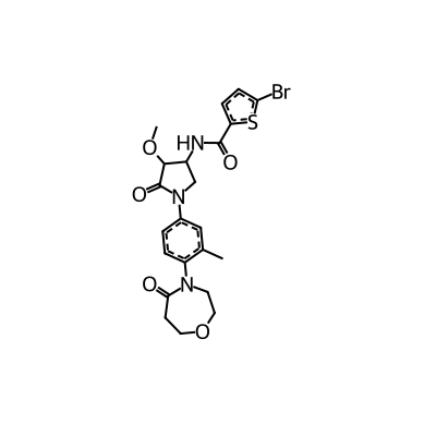 COC1C(=O)N(c2ccc(N3CCOCCC3=O)c(C)c2)CC1NC(=O)c1ccc(Br)s1